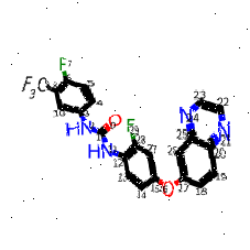 O=C(Nc1ccc(F)c(C(F)(F)F)c1)Nc1ccc(Oc2ccc3nccnc3c2)cc1F